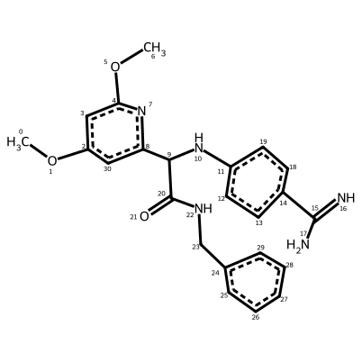 COc1cc(OC)nc(C(Nc2ccc(C(=N)N)cc2)C(=O)NCc2ccccc2)c1